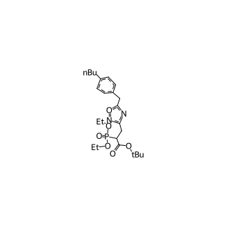 CCCCc1ccc(Cc2nc(CC(C(=O)OC(C)(C)C)P(=O)(OCC)OCC)no2)cc1